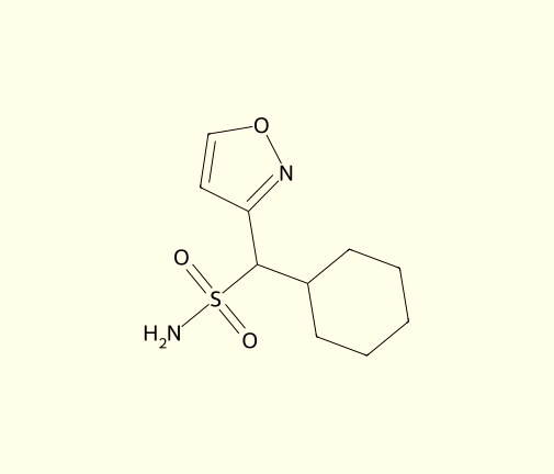 NS(=O)(=O)C(c1ccon1)C1CCCCC1